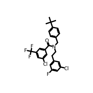 CC(C)(C)c1ccc(CN(CCc2cc(F)cc(Cl)c2)C(=O)c2cc(Cl)cc(C(F)(F)F)c2)cc1